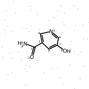 NC(=O)c1cncc(O)c1